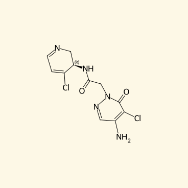 Nc1cnn(CC(=O)N[C@@H]2CN=CC=C2Cl)c(=O)c1Cl